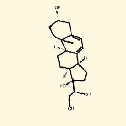 C[C@]12CC[C@@H]3C(=CC=C4C[C@@H](O)CC[C@]43C)[C@@H]1CC[C@]2(O)[C@@H](O)CO